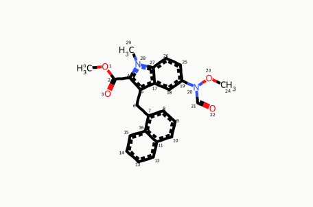 COC(=O)c1c(Cc2cccc3ccccc23)c2cc(N(C=O)OC)ccc2n1C